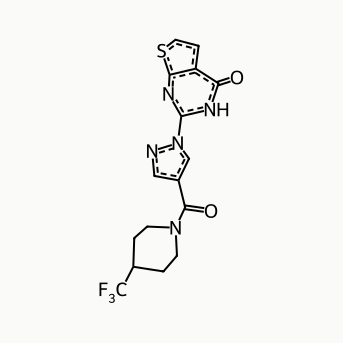 O=C(c1cnn(-c2nc3sccc3c(=O)[nH]2)c1)N1CCC(C(F)(F)F)CC1